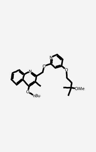 CCCCOc1c(C)c(COc2cc(OCCC(C)(C)OC)ccn2)nc2ccccc12